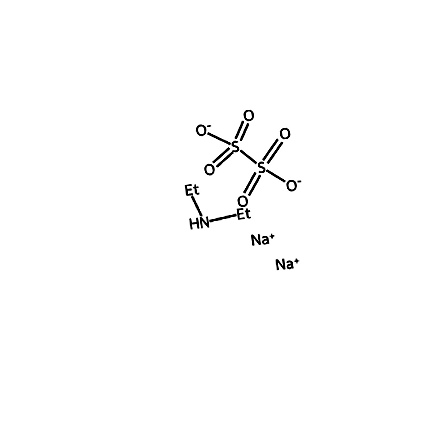 CCNCC.O=S(=O)([O-])S(=O)(=O)[O-].[Na+].[Na+]